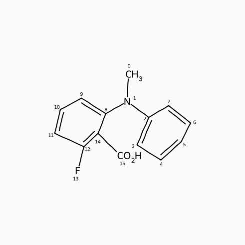 CN(c1ccccc1)c1cccc(F)c1C(=O)O